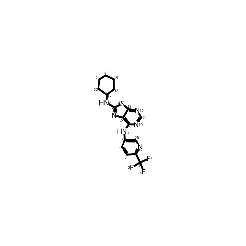 FC(F)(F)c1ccc(Nc2ncnc3sc(NC4CCCCC4)nc23)cn1